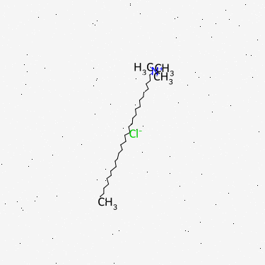 CCCCCCCCCCCCCCCCCCCCCCCCCCCCCC[N+](C)(C)C.[Cl-]